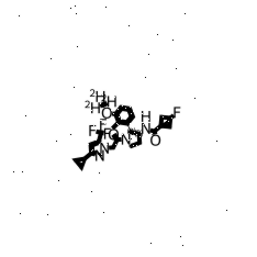 [2H]C([2H])([2H])Oc1cccc([C@@H]2[C@H](NC(=O)C34CC(F)(C3)C4)CCN2C(=O)Cn2nc(C3CC3)cc2C(F)(F)F)c1C